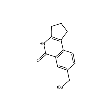 CC(C)(C)Cc1ccc2c3c([nH]c(=O)c2c1)CCC3